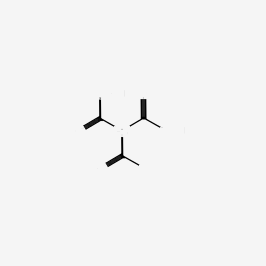 O=C(O)[C](=O)[Rh]([C](=O)C(=O)O)[C](=O)C(=O)O